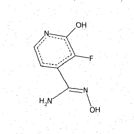 N/C(=N\O)c1ccnc(O)c1F